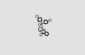 O=c1c2ccccc2nc2n1CCCC2CP(=O)(c1ccc(Cl)cc1)c1ccc(Cl)cc1